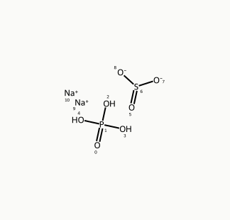 O=P(O)(O)O.O=S([O-])[O-].[Na+].[Na+]